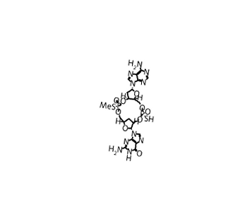 CS[P@]1(=O)OC[C@@H]2C[C@@H](O[P@](=O)(S)OC[C@H]3O[C@@H](n4cnc5c(N)ncnc54)C[C@@H]3O1)[C@H](n1cnc3c(=O)[nH]c(N)nc31)O2